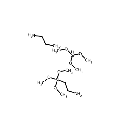 CO[SiH](OC)OC.CO[Si](CCN)(OC)OC.[CH2]CCN